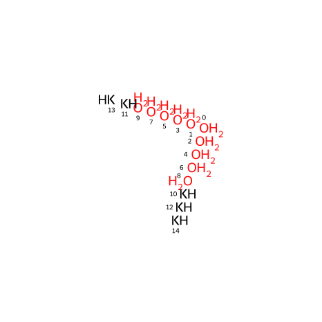 O.O.O.O.O.O.O.O.O.O.[KH].[KH].[KH].[KH].[KH]